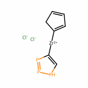 C1=CC[C]([Zr+2][c]2c[pH]pp2)=C1.[Cl-].[Cl-]